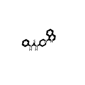 S=C(Nc1ccccc1)NC1CCN(c2nccc3ccccc23)CC1